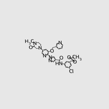 CN1CCN(c2cnc(-n3cc(C(=O)Nc4cc(Cl)cc(S(C)(=O)=O)c4)cn3)c(OCc3cccnc3)c2)CC1=O